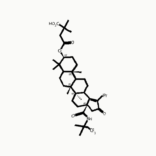 CC(C)C1=C2C3CCC4[C@@]5(C)CC[C@H](OC(=O)CC(C)(C)C(=O)O)C(C)(C)C5CC[C@@]4(C)[C@]3(C)CC[C@@]2(C(=O)NC(C)(C)C(F)(F)F)CC1=O